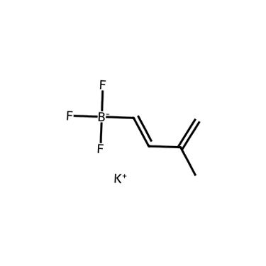 C=C(C)C=C[B-](F)(F)F.[K+]